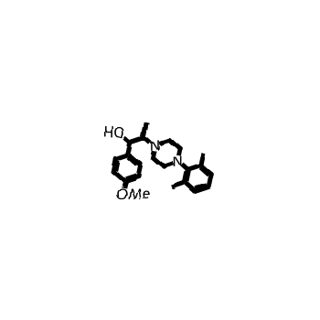 COc1ccc(C(O)C(C)N2CCN(c3c(C)cccc3C)CC2)cc1